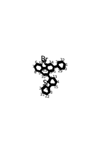 Brn1c2c3c4c1=CCCC4C=C(c1cccc4c1sc1ccccc14)C3=CC(c1ccccc1)C=2